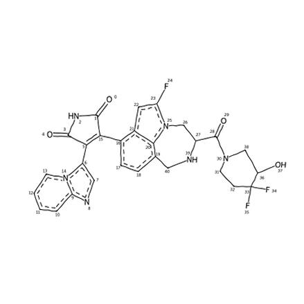 O=C1NC(=O)C(c2cnc3ccccn23)=C1c1ccc2c3c1cc(F)n3CC(C(=O)N1CCC(F)(F)C(O)C1)NC2